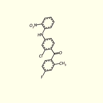 Cc1cc(F)ccc1C(=O)c1ccc(Nc2ccccc2[N+](=O)[O-])cc1Cl